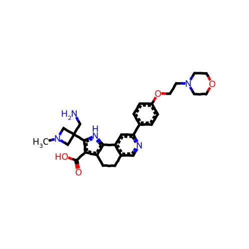 CN1CC(CN)(c2[nH]c3c(c2C(=O)O)CCc2cnc(-c4ccc(OCCN5CCOCC5)cc4)cc2-3)C1